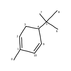 CC1=CCC(C(C)(C)C)C=C1